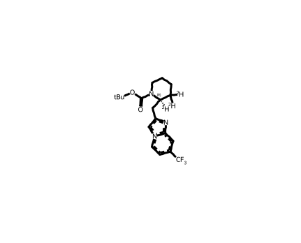 [2H]C1([2H])CCCN(C(=O)OC(C)(C)C)[C@]1([2H])Cc1cn2ccc(C(F)(F)F)cc2n1